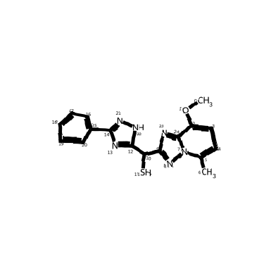 COc1ccc(C)n2nc(C(S)c3nc(-c4ccccc4)n[nH]3)nc12